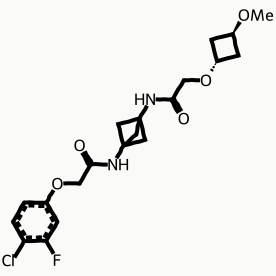 CO[C@H]1C[C@H](OCC(=O)NC23CC(NC(=O)COc4ccc(Cl)c(F)c4)(C2)C3)C1